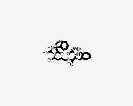 CCC(CCCNC(=O)[C@H](Cc1ccccc1Cl)NC(=O)OC)N1C(=N)N[C@](CC(C)C)(c2ccccc2)C1=O